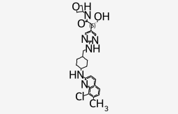 Cc1ccc2ccc(NC3CCC(CNc4ncc([C@@H](CO)C(=O)NC5COC5)cn4)CC3)nc2c1Cl